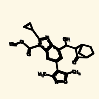 Cc1noc(C)c1-c1cc(C(O)C2C(=O)C3CCC2C3)c2nc(C3CC3)n(C(=O)OC(C)(C)C)c2c1